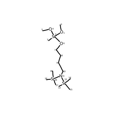 CO[Si](C)(OC)OCCCCN([Si](C)(C)C)[Si](C)(C)C